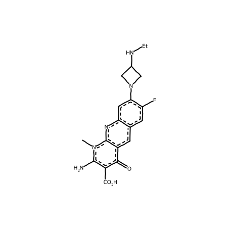 CCNC1CN(c2cc3nc4c(cc3cc2F)c(=O)c(C(=O)O)c(N)n4C)C1